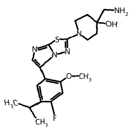 COc1cc(F)c(C(C)C)cc1-c1cnc2sc(N3CCC(O)(CN)CC3)nn12